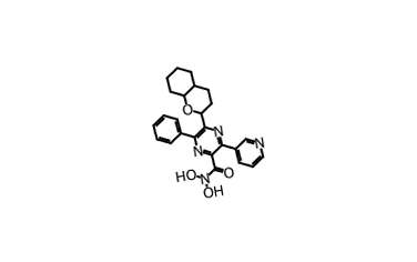 O=C(c1nc(-c2ccccc2)c(C2CCC3CCCCC3O2)nc1-c1cccnc1)N(O)O